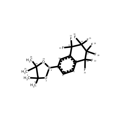 CC1(C)OB(c2ccc3c(c2)C(F)(F)C(F)(F)C(F)(F)C3(F)F)OC1(C)C